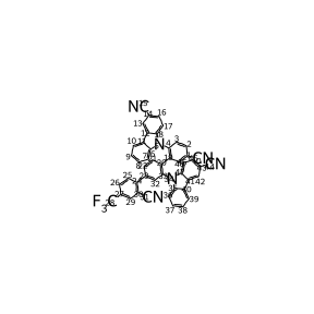 N#Cc1ccc(-n2c3ccccc3c3cc(C#N)ccc32)c(-c2ccc(-c3ccc(C(F)(F)F)cc3C#N)cc2-n2c3ccccc3c3cc(C#N)ccc32)c1